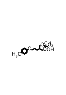 Cc1ccc(OCCCC2COC(C)(C(=O)O)OC2)cc1